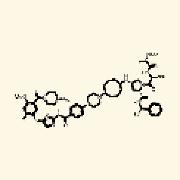 CC[C@@H](NC(=O)[C@@H]1C[C@H](NC2CCCC(N3CCN(c4ccc(C(=O)Nc5ncc(Sc6cc(C(=O)N7CCN(C(C)=O)CC7)c(OC)cc6C)s5)cc4)CC3)CCC2)CN1C(=O)[C@@H](NC(=O)[C@H](C)NC)C(C)(C)C)c1ccccc1